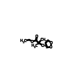 C1COOC1.CCOC(=O)C(C)(C)C